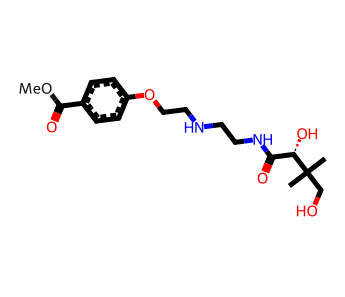 COC(=O)c1ccc(OCCNCCNC(=O)[C@H](O)C(C)(C)CO)cc1